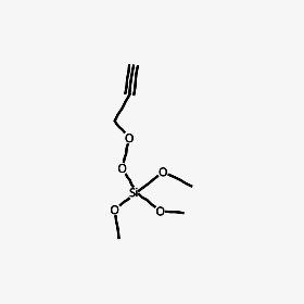 C#CCOO[Si](OC)(OC)OC